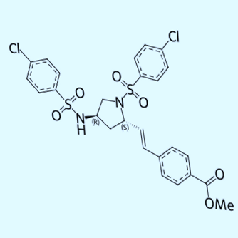 COC(=O)c1ccc(C=C[C@@H]2C[C@@H](NS(=O)(=O)c3ccc(Cl)cc3)CN2S(=O)(=O)c2ccc(Cl)cc2)cc1